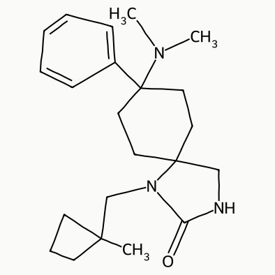 CN(C)C1(c2ccccc2)CCC2(CC1)CNC(=O)N2CC1(C)CCC1